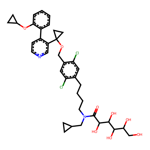 O=C(C(O)C(O)C(O)C(O)CO)N(CCCCc1cc(Cl)c(COC2(c3cnccc3-c3ccccc3OC3CC3)CC2)cc1Cl)CC1CC1